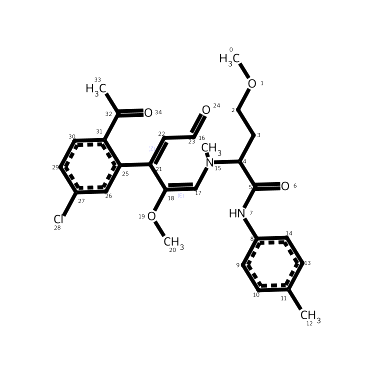 COCCC(C(=O)Nc1ccc(C)cc1)N(C)/C=C(OC)\C(=C/C=O)c1cc(Cl)ccc1C(C)=O